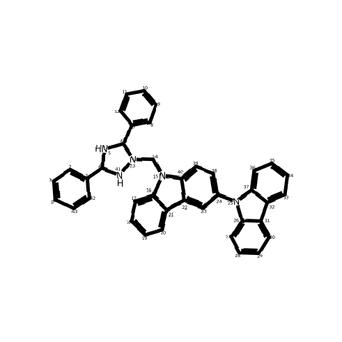 c1ccc(C2NC(c3ccccc3)N(Cn3c4ccccc4c4cc(-n5c6ccccc6c6ccccc65)ccc43)N2)cc1